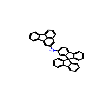 c1ccc2c(c1)-c1cccc3cc(Nc4ccc5c(c4)C4(c6ccccc6-c6ccccc64)c4ccccc4-5)cc-2c13